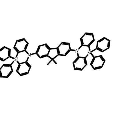 CC1(C)c2cc(N3c4ccccc4[Si](c4ccccc4)(c4ccccc4)c4ccccc43)ccc2-c2ccc(N3c4ccccc4[Si](c4ccccc4)(c4ccccc4)c4ccccc43)cc21